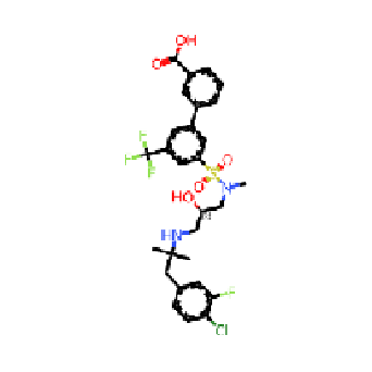 CN(C[C@H](O)CNC(C)(C)Cc1ccc(Cl)c(F)c1)S(=O)(=O)c1cc(-c2cccc(C(=O)O)c2)cc(C(F)(F)F)c1